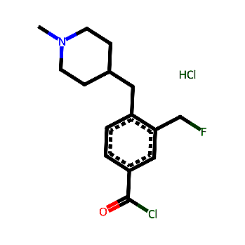 CN1CCC(Cc2ccc(C(=O)Cl)cc2CF)CC1.Cl